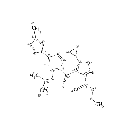 CCOC(=O)c1noc(C2CC2)c1C(=O)c1ccc(-n2cnc(C)n2)cc1CC(C)C